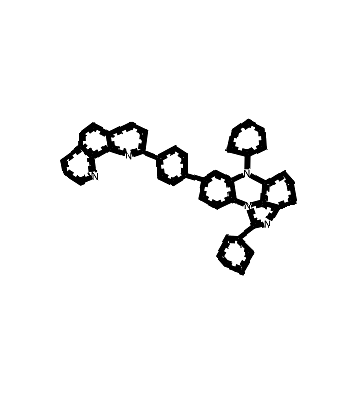 c1ccc(-c2nc3cccc4c3n2-c2ccc(-c3ccc(-c5ccc6ccc7cccnc7c6n5)cc3)cc2N4c2ccccc2)cc1